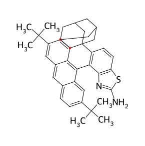 CC(C)(C)c1ccc2c(-c3c(C45CC6CC(CC(C6)C4)C5)ccc4sc(N)nc34)c3cc(C(C)(C)C)ccc3cc2c1